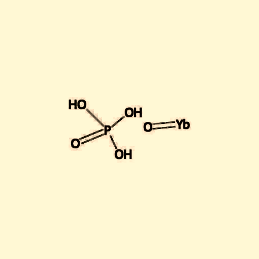 O=P(O)(O)O.[O]=[Yb]